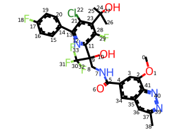 COc1cc(C(=O)NCC(O)(c2nc(-c3ccc(F)cc3)c(Cl)c(C(C)(C)O)c2F)C(F)(F)F)cc2cc(C)nnc12